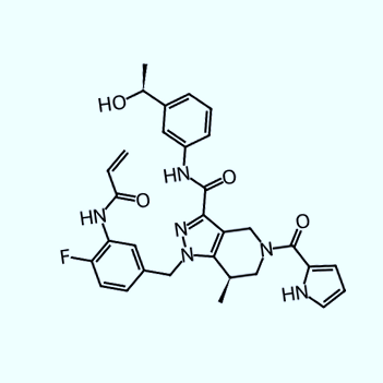 C=CC(=O)Nc1cc(Cn2nc(C(=O)Nc3cccc([C@H](C)O)c3)c3c2[C@H](C)CN(C(=O)c2ccc[nH]2)C3)ccc1F